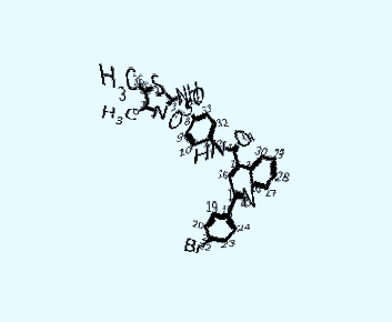 CC1N=C(NS(=O)(=O)c2ccc(NC(=O)c3cc(-c4ccc(Br)cc4)nc4ccccc34)cc2)SC1C